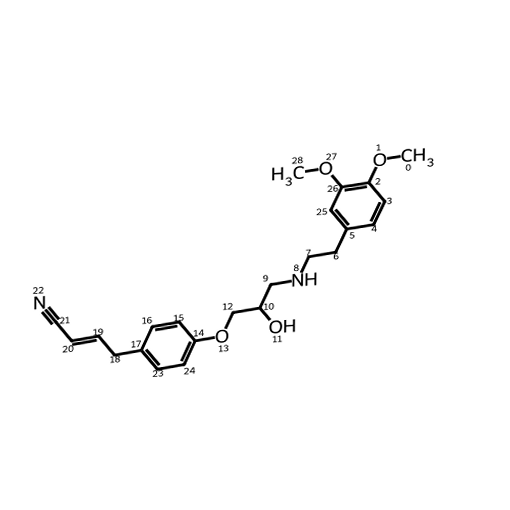 COc1ccc(CCNCC(O)COc2ccc(C/C=C/C#N)cc2)cc1OC